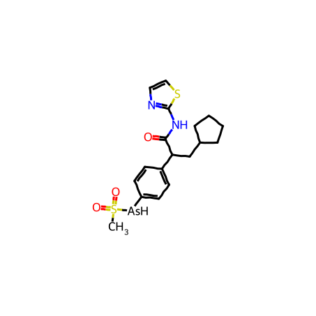 CS(=O)(=O)[AsH]c1ccc(C(CC2CCCC2)C(=O)Nc2nccs2)cc1